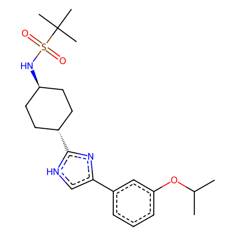 CC(C)Oc1cccc(-c2c[nH]c([C@H]3CC[C@H](NS(=O)(=O)C(C)(C)C)CC3)n2)c1